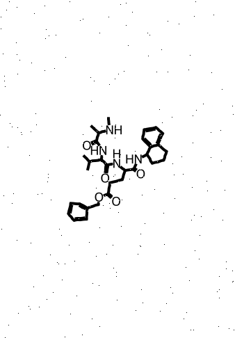 CNC(C)C(=O)NC(C(=O)NC(CCC(=O)OCc1ccccc1)C(=O)NC1CCCc2ccccc21)C(C)C